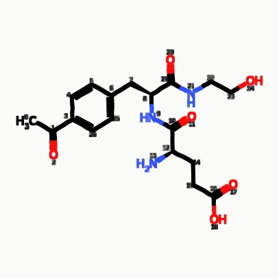 CC(=O)c1ccc(C[C@H](NC(=O)[C@H](N)CCC(=O)O)C(=O)NCCO)cc1